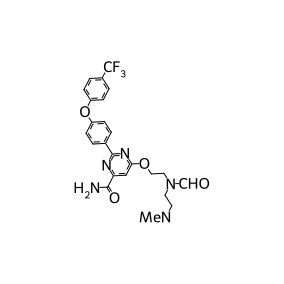 CNCCN(C=O)CCOc1cc(C(N)=O)nc(-c2ccc(Oc3ccc(C(F)(F)F)cc3)cc2)n1